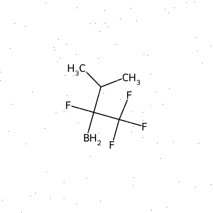 BC(F)(C(C)C)C(F)(F)F